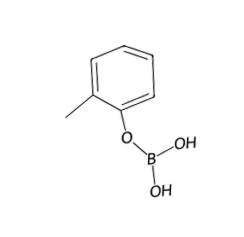 Cc1ccccc1OB(O)O